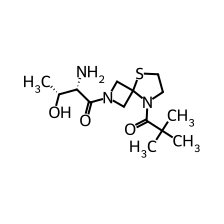 C[C@@H](O)[C@H](N)C(=O)N1CC2(C1)SCCN2C(=O)C(C)(C)C